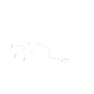 CNc1ccc(S(F)(F)(F)(F)F)cc1